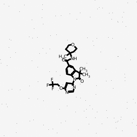 CC1(NC(=O)c2ccc3c(c2)C(C)(C)C(=O)N3c2cc(OCC(F)(F)F)ncn2)CCOCC1